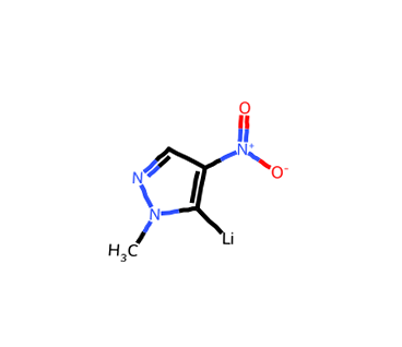 [Li][c]1c([N+](=O)[O-])cnn1C